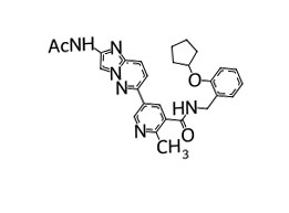 CC(=O)Nc1cn2nc(-c3cnc(C)c(C(=O)NCc4ccccc4OC4CCCC4)c3)ccc2n1